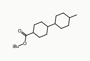 CCC(C)OC(=O)C1CCC(C2CCC(C)CC2)CC1